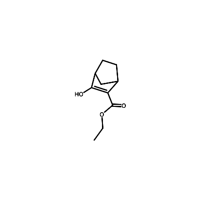 CCOC(=O)C1=C(O)C2CCC1C2